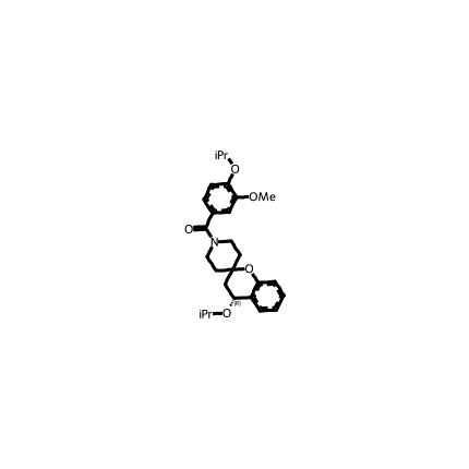 COc1cc(C(=O)N2CCC3(CC2)C[C@@H](OC(C)C)c2ccccc2O3)ccc1OC(C)C